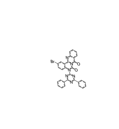 O=c1c2ccccc2nc2c3cc(Br)ccc3n(-c3nc(-c4ccccc4)nc(-c4ccccc4)n3)c(=O)n12